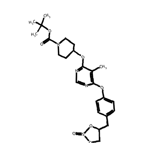 Cc1c(Oc2ccc(CC3COS(=O)O3)cc2)ncnc1OC1CCN(C(=O)OC(C)(C)C)CC1